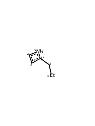 CCCn1cc[nH]1